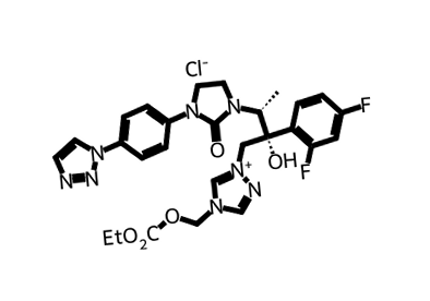 CCOC(=O)OCn1cn[n+](C[C@](O)(c2ccc(F)cc2F)[C@@H](C)N2CCN(c3ccc(-n4ccnn4)cc3)C2=O)c1.[Cl-]